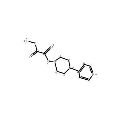 COC(=O)C(=O)ON1CCN(c2ccncc2)CC1